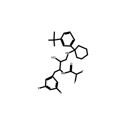 CC(C)(C)c1cccc(C2(NCC(O)C(Cc3cc(F)cc(F)c3)NC(=O)C(F)F)CCCCC2)c1